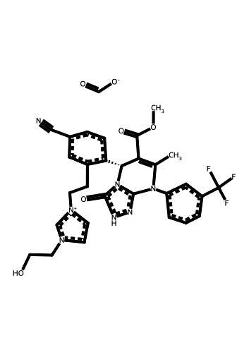 COC(=O)C1=C(C)N(c2cccc(C(F)(F)F)c2)c2n[nH]c(=O)n2[C@@H]1c1ccc(C#N)cc1CC[n+]1ccn(CCO)c1.O=C[O-]